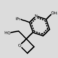 CC(C)c1nc(O)ccc1C1(CO)CCO1